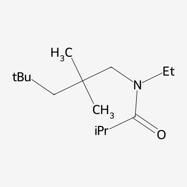 CCN(CC(C)(C)CC(C)(C)C)C(=O)C(C)C